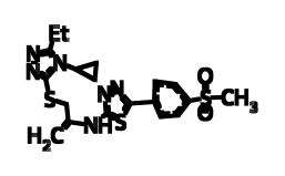 C=C(CSc1nnc(CC)n1C1CC1)Nc1nnc(-c2ccc(S(C)(=O)=O)cc2)s1